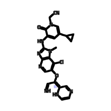 Cn1c(Nc2cc(C3CC3)cn(CC#N)c2=O)nc2ncc(O/C(C=N)=C3\C=NC=CN3)c(Cl)c21